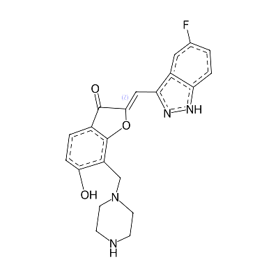 O=C1/C(=C/c2n[nH]c3ccc(F)cc23)Oc2c1ccc(O)c2CN1CCNCC1